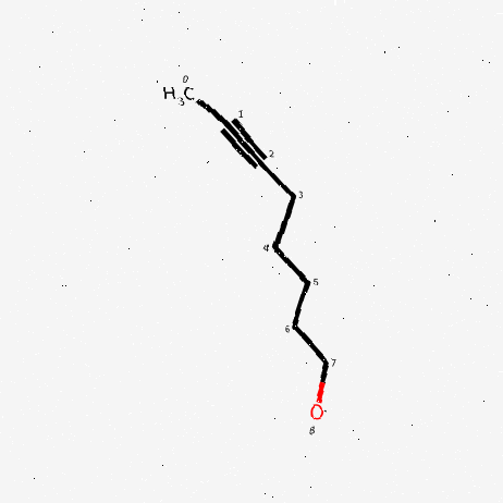 CC#CCCCCC[O]